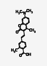 Cc1cc(/C=C/c2c(C)c3ccc(N(C)C)cc3oc2=O)ccc1C(=O)O